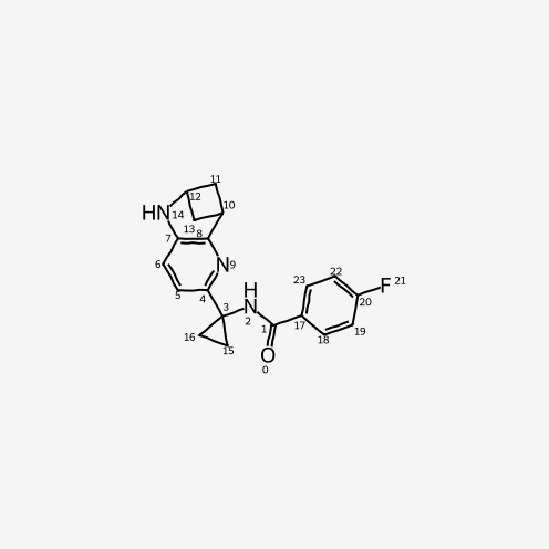 O=C(NC1(c2ccc3c(n2)C2CC(C2)N3)CC1)c1ccc(F)cc1